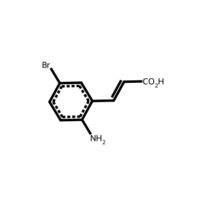 Nc1ccc(Br)cc1C=CC(=O)O